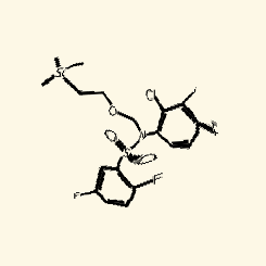 C[Si](C)(C)CCOCN(c1ccc(F)c(I)c1Cl)S(=O)(=O)c1cc(F)ccc1F